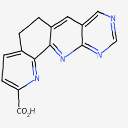 O=C(O)c1ccc2c(n1)-c1nc3ncncc3cc1CC2